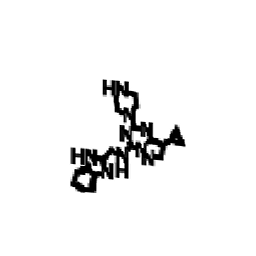 c1ccc2[nH]c(CNc3nc(N4CCNCC4)nc4c(C5CC5)cnn34)nc2c1